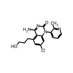 Cc1ncccc1-n1c(=O)nc(N)c2c(CCCO)cc(Cl)cc21